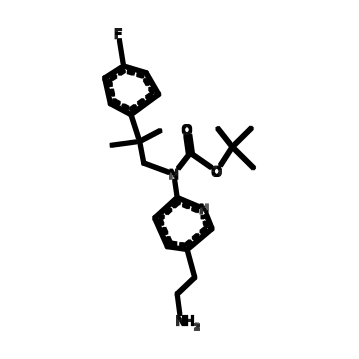 CC(C)(C)OC(=O)N(CC(C)(C)c1ccc(F)cc1)c1ccc(CCN)cn1